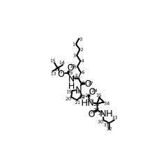 CCCCCCC[C@H](NC(=O)OC(C)(C)C)C(=O)N1CCC[C@H]1C(=O)NC1(C(=O)NCC(C)C)CC1